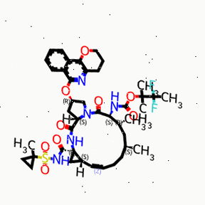 C[C@H]1CC/C=C\[C@@H]2C[C@@]2(C(=O)NS(=O)(=O)C2(C)CC2)NC(=O)[C@@H]2C[C@@H](Oc3nc4c(c5ccccc35)OCCC4)CN2C(=O)[C@@H](NC(=O)OC(C)(C)C(C)(F)F)[C@H](C)C1